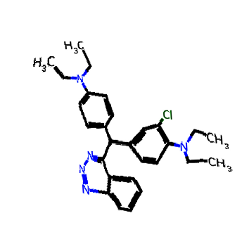 CCN(CC)c1ccc(C(c2ccc(N(CC)CC)c(Cl)c2)c2nnnc3ccccc23)cc1